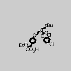 CCOC(Cc1ccc(OCCN(CCC(C)(C)C)C(=O)Oc2ccc(Cl)cc2Cl)cc1)C(=O)O